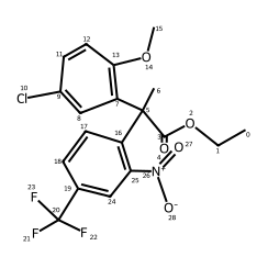 CCOC(=O)C(C)(c1cc(Cl)ccc1OC)c1ccc(C(F)(F)F)cc1[N+](=O)[O-]